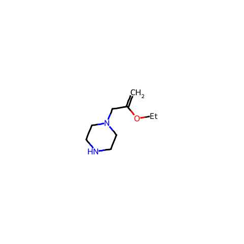 C=C(CN1CCNCC1)OCC